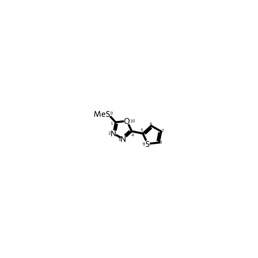 [CH2]Sc1nnc(-c2cccs2)o1